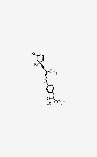 CCO[C@@H](Cc1ccc(OC/C=C(\C)C#CC2(Br)C=CC=C(Br)C2)cc1)C(=O)O